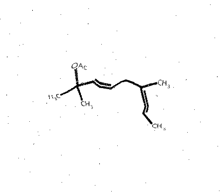 CC=C(C)CC=CC(C)(C)OC(C)=O